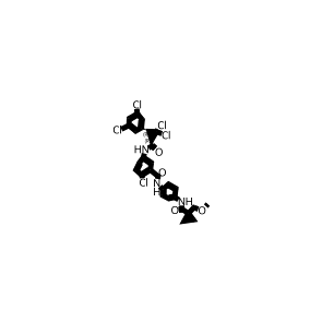 COCC1(C(=O)Nc2ccc(NC(=O)c3cc(NC(=O)[C@H]4[C@H](c5cc(Cl)cc(Cl)c5)C4(Cl)Cl)ccc3Cl)cc2)CC1